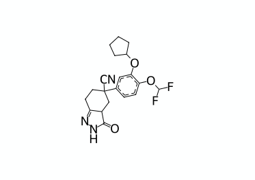 N#CC1(c2ccc(OC(F)F)c(OC3CCCC3)c2)CCC2=NNC(=O)C2C1